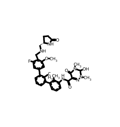 COc1cc(-c2cccc(-c3cccc(NC(=O)C4=NN(C)C(O)N(C)C4=O)c3C)c2C)cc(F)c1CNC[C@@H]1CCC(=O)N1